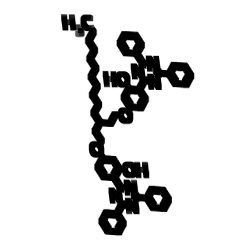 CCCCCCCCCCCC(CCOc1ccc(-c2nc(-c3ccccc3)nc(-c3ccccc3)n2)c(O)c1)CCOc1ccc(-c2nc(-c3ccccc3)nc(-c3ccccc3)n2)c(O)c1